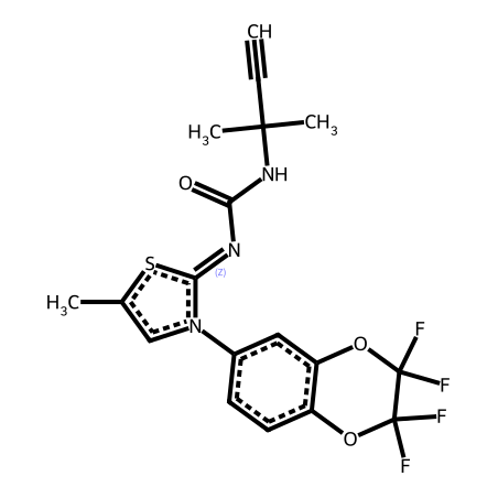 C#CC(C)(C)NC(=O)/N=c1\sc(C)cn1-c1ccc2c(c1)OC(F)(F)C(F)(F)O2